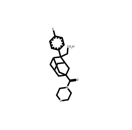 O=C(O)CC1(c2ccc(F)cc2)C2CC3CC1CC(C(=O)N1CCOCC1)(C3)C2